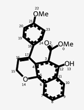 COC(=O)c1c2c(c3ccccc3c1O)OCC=C2c1ccc(OC)cc1